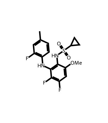 COc1cc(F)c(F)c(Nc2ccc(C)cc2F)c1NS(=O)(=O)C1CC1